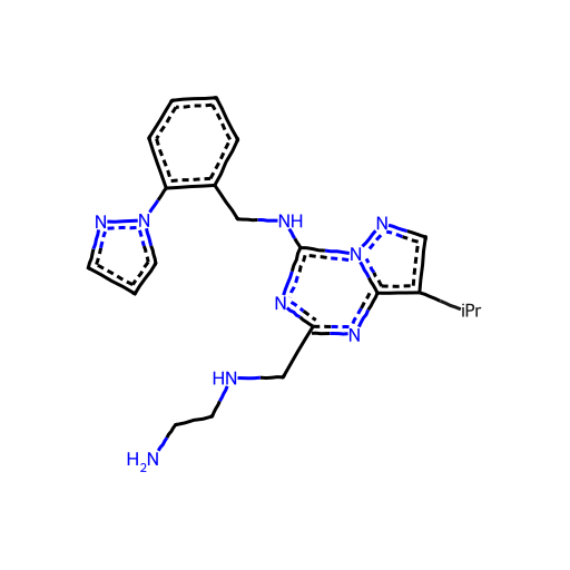 CC(C)c1cnn2c(NCc3ccccc3-n3cccn3)nc(CNCCN)nc12